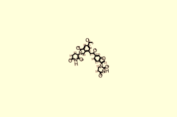 CC(=O)c1cc(CC(=O)c2ccc3c(N4CCC(=O)NC4=O)coc3c2)c2c(c1)C(=O)N(C1CCC(=O)NC1=O)C2